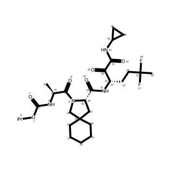 CC(C)OC(=O)N[C@@H](C)C(=O)N1CC2(CCCCC2)C[C@H]1C(=O)N[C@@H](CCC(C)(F)F)C(=O)C(=O)NC1CC1